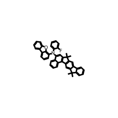 CC1(C)c2ccccc2-c2cc3c(cc21)-c1c(cc(N(c2ccccc2F)c2cccc4c2oc2ccccc24)c2ccccc12)C3(C)C